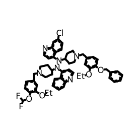 CCOc1cc(CN2CCC(N(c3ccnc4cc(Cl)ccc34)N(c3ccnc4ccccc34)C3CCN(Cc4ccc(OC(F)F)c(OCC)c4)CC3)CC2)ccc1OCc1ccccc1